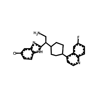 NCC(c1nc2cc(Cl)ccc2[nH]1)C1CCC(c2ccnc3ccc(F)cc23)CC1